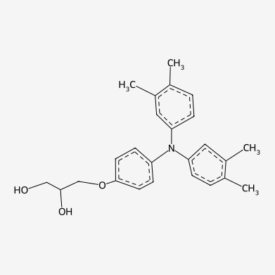 Cc1ccc(N(c2ccc(OCC(O)CO)cc2)c2ccc(C)c(C)c2)cc1C